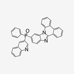 O=P(c1ccccc1)(c1cnc2ccccc2c1)c1ccc2nc3c4ccccc4c4ccccc4n3c2c1